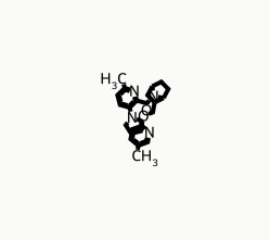 Cc1ccc(OCC2CC3CCC2N3C(=O)c2nc(C)ccc2N2CCCC2)nc1